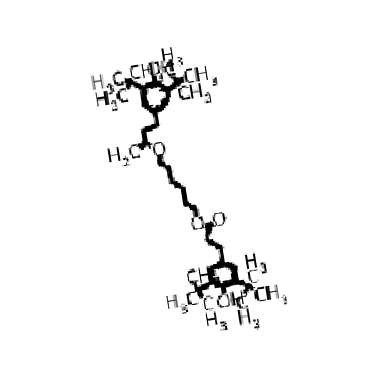 C=C(CCc1cc(C(C)(C)C)c(O)c(C(C)(C)C)c1)OCCCCCCOC(=O)CCc1cc(C(C)(C)C)c(O)c(C(C)(C)C)c1